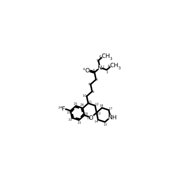 CCN(CC)C(=O)CCCCC1CC2(CCNCC2)Oc2ccc(F)cc21